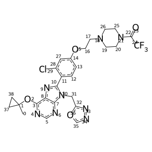 CC1(Oc2ncnc3c2nc(-c2ccc(OCCN4CCN(C(=O)C(F)(F)F)CC4)cc2Cl)n3Cc2nnco2)CC1